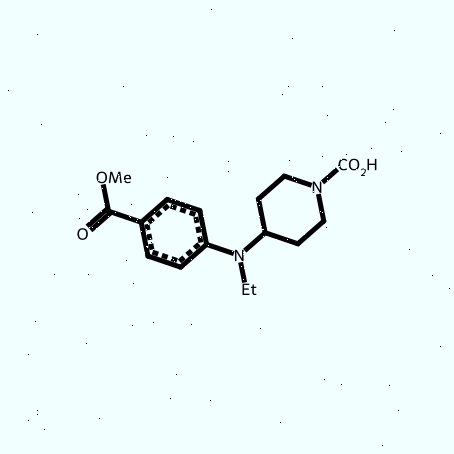 CCN(c1ccc(C(=O)OC)cc1)C1CCN(C(=O)O)CC1